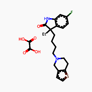 CCC1(CCCCN2CCc3sccc3C2)C(=O)Nc2cc(F)ccc21.O=C(O)C(=O)O